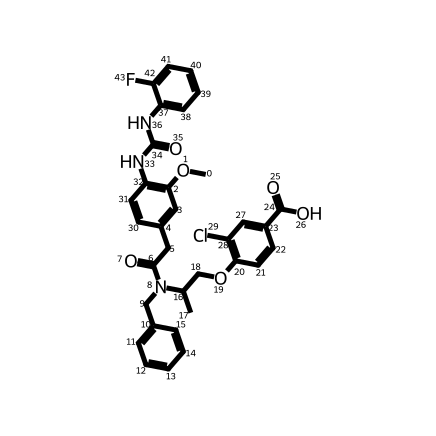 COc1cc(CC(=O)N(Cc2ccccc2)C(C)COc2ccc(C(=O)O)cc2Cl)ccc1NC(=O)Nc1ccccc1F